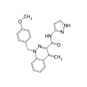 C=C1C(C(=O)Nc2cc[nH]n2)=NN(Cc2ccc(OC)cc2)c2ccccc21